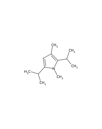 Cc1cc(C(C)C)n(C)c1C(C)C